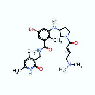 CCN(c1cc(Br)cc(C(=O)NCc2c(C)cc(C)[nH]c2=O)c1C)C1CCN(C(=O)/C=C/CN(C)C)C1